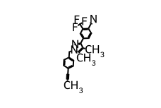 CC#Cc1ccc(Cn2nc(-c3ccc(C#N)c(C(F)(F)F)c3)c(C)c2C)cc1